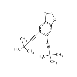 CC(C)(C)C#Cc1cc2c(cc1C#CC(C)(C)C)OCO2